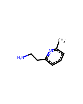 [CH2]c1cccc(CCN)n1